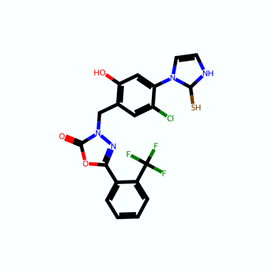 O=c1oc(-c2ccccc2C(F)(F)F)nn1Cc1cc(Cl)c(N2C=CNC2S)cc1O